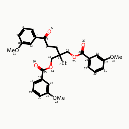 CCC(CCC(=O)c1cccc(OC)c1)(COC(=O)c1cccc(OC)c1)COC(=O)c1cccc(OC)c1